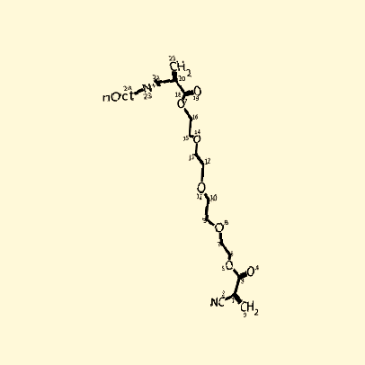 C=C(C#N)C(=O)OCCOCCOCCOCCOC(=O)C(=C)C#[N+]CCCCCCCC